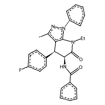 CCN1C(=O)[C@@H](NC(=O)c2ccccc2)[C@@H](c2ccc(F)cc2)c2c(C)nn(-c3ccccc3)c21